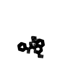 COc1cccc(CC(=O)O)c1NC(=O)Nc1ccccc1